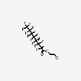 O=C(OCCCl)C(F)(F)C(F)(F)C(F)(F)C(F)(F)C(F)(F)C(F)(F)C(F)(F)F